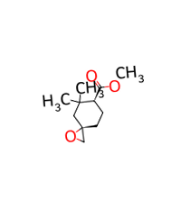 COC(=O)[C@H]1CC[C@]2(CO2)CC1(C)C